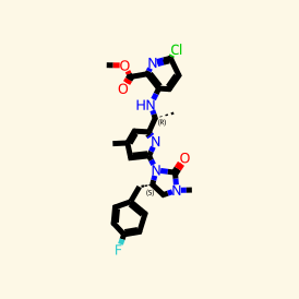 COC(=O)c1nc(Cl)ccc1N[C@H](C)c1cc(C)cc(N2C(=O)N(C)C[C@@H]2Cc2ccc(F)cc2)n1